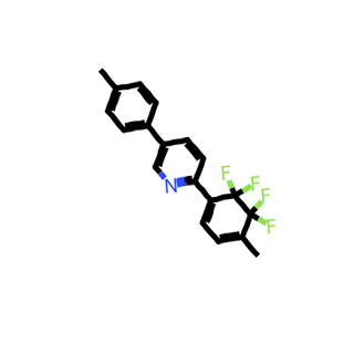 CC1=CC=C(c2ccc(-c3ccc(C)cc3)cn2)C(F)(F)C1(F)F